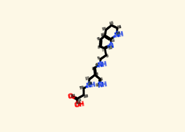 N=C/C(=C\NCCc1ccc2c(n1)NCCC2)CNCCC(=O)O